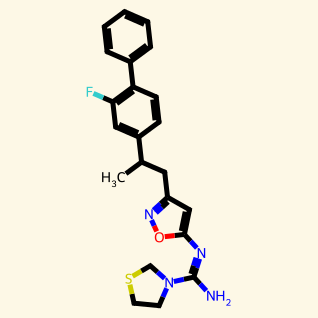 CC(Cc1cc(N=C(N)N2CCSC2)on1)c1ccc(-c2ccccc2)c(F)c1